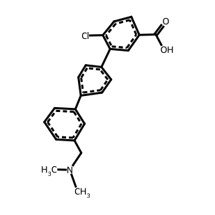 CN(C)Cc1cccc(-c2ccc(-c3cc(C(=O)O)ccc3Cl)cc2)c1